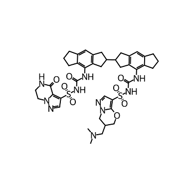 CN(C)CC1COc2c(S(=O)(=O)NC(=O)Nc3c4c(cc5c3CC(C3Cc6cc7c(c(NC(=O)NS(=O)(=O)c8cnn9c8C(=O)NCC9)c6C3)CCC7)C5)CCC4)cnn2C1